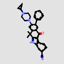 CC1(C)c2cc(N3CCN(C4CC4)CC3)c(-c3ccccc3)cc2C(=O)c2c1[nH]c1cc(C#N)ccc21